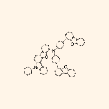 c1ccc(-n2c3ccccc3c3c4oc5c(N(c6ccc(-c7cccc8c7oc7ccccc78)cc6)c6ccc(-c7cccc8c7oc7ccccc78)cc6)cccc5c4ccc32)cc1